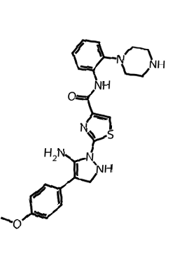 COc1ccc(C2=C(N)N(c3nc(C(=O)Nc4ccccc4N4CCNCC4)cs3)NC2)cc1